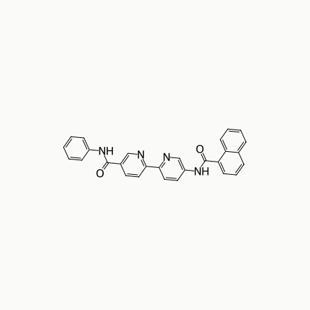 O=C(Nc1ccccc1)c1ccc(-c2ccc(NC(=O)c3cccc4ccccc34)cn2)nc1